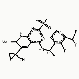 COC1Nc2nc(S(C)(=O)=O)nc(N[C@H](C)c3cccc(C(F)F)c3F)c2C=C1C1(C#N)CC1